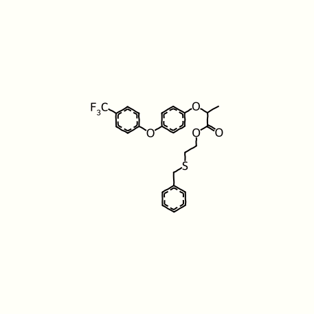 CC(Oc1ccc(Oc2ccc(C(F)(F)F)cc2)cc1)C(=O)OCCSCc1ccccc1